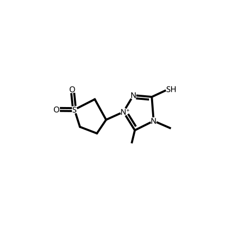 Cc1n(C)c(S)n[n+]1C1CCS(=O)(=O)C1